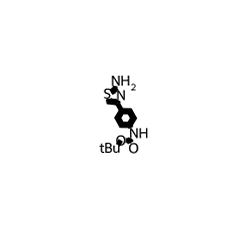 CC(C)(C)OC(=O)Nc1ccc(-c2csc(N)n2)cc1